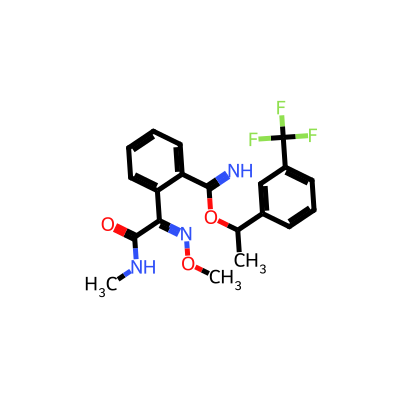 CNC(=O)C(=NOC)c1ccccc1C(=N)OC(C)c1cccc(C(F)(F)F)c1